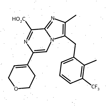 Cc1nc2c(C(=O)O)nc(C3=CCOCC3)cn2c1Cc1cccc(C(F)(F)F)c1C